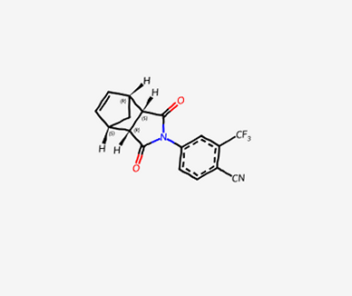 N#Cc1ccc(N2C(=O)[C@@H]3[C@H](C2=O)[C@@H]2C=C[C@H]3C2)cc1C(F)(F)F